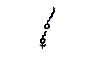 N#C/C=C/C=C/CC[C@H]1CC[C@H](CCCCc2ccc(C(F)(F)F)cc2)CC1